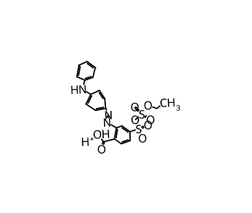 CCOS(=O)(=O)OS(=O)(=O)c1ccc(C(=O)O)c(N=Nc2ccc(Nc3ccccc3)cc2)c1.[H+]